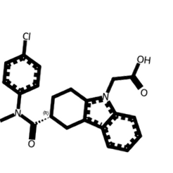 CN(C(=O)[C@@H]1CCc2c(c3ccccc3n2CC(=O)O)C1)c1ccc(Cl)cc1